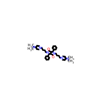 CN(C)c1cc[n+](CCCCN2C(=O)C3=C(c4ccccc4)N(CCCC[n+]4ccc(N(C)C)cc4)C(=O)C3=C2c2ccccc2)cc1